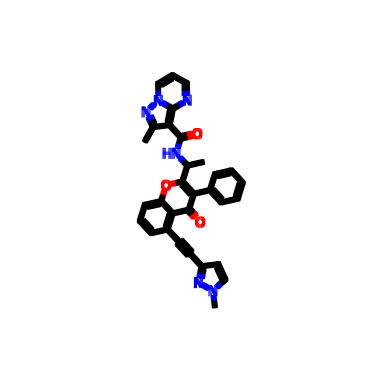 Cc1nn2cccnc2c1C(=O)NC(C)c1oc2cccc(C#Cc3ccn(C)n3)c2c(=O)c1-c1ccccc1